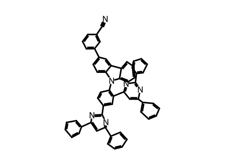 N#Cc1cccc(-c2ccc3c(c2)c2ccccc2n3-c2ccc(-c3nc(-c4ccccc4)cc(-c4ccccc4)n3)cc2-c2cc(-c3ccccc3)nc(-c3ccccc3)n2)c1